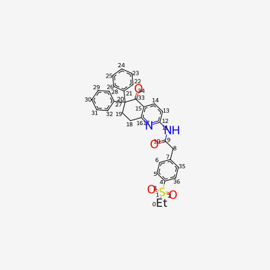 CCS(=O)(=O)c1ccc(CC(=O)Nc2ccc3c(n2)CCC(c2ccccc2)(c2ccccc2)C3=O)cc1